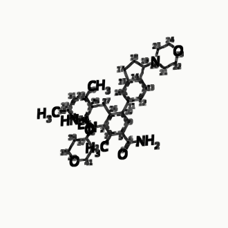 CCN(c1c(C)c(C(N)=O)cc(-c2ccc3c(c2)CCC3N2CCOCC2)c1Cc1c(C)cc(C)[nH]c1=O)C1CCOCC1